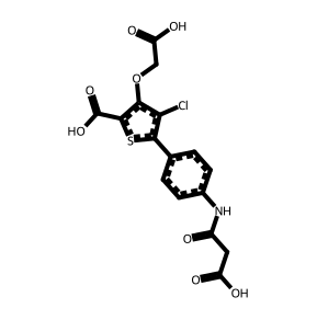 O=C(O)COc1c(C(=O)O)sc(-c2ccc(NC(=O)CC(=O)O)cc2)c1Cl